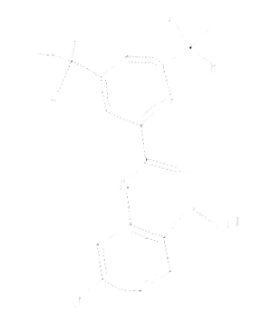 COc1ccc(Cl)cc1NC(=O)c1cc(C(F)(F)F)cc(C(F)(F)F)c1